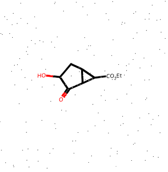 CCOC(=O)C1C2CC(O)C(=O)C21